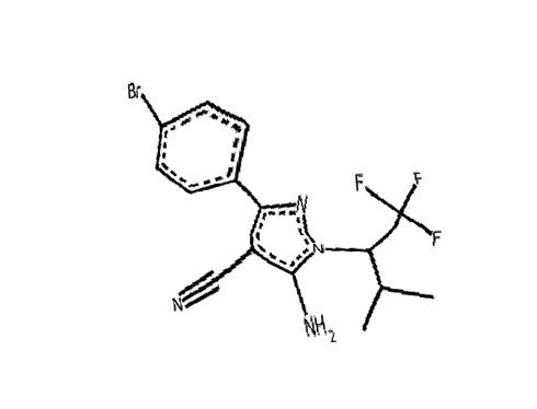 CC(C)C(n1nc(-c2ccc(Br)cc2)c(C#N)c1N)C(F)(F)F